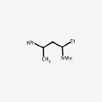 CCCC(C)CC(CC)NC